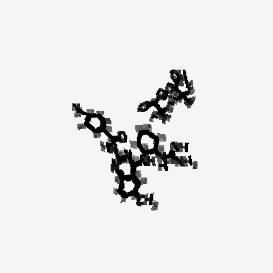 Cc1ccc2nc(NC(=O)c3ccc(C#N)cc3)nc(NC3CCCCC3NC(=N)N)c2c1.O=C(O)C(F)(F)F.O=C(O)C(F)(F)F